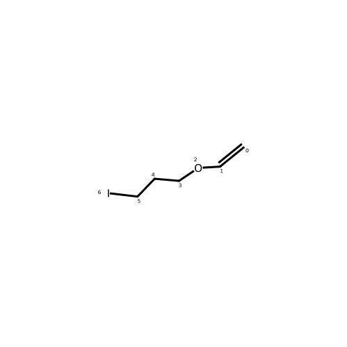 C=COCCCI